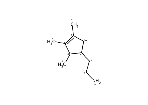 CC1=C(C)C(C)C(CCN)C1